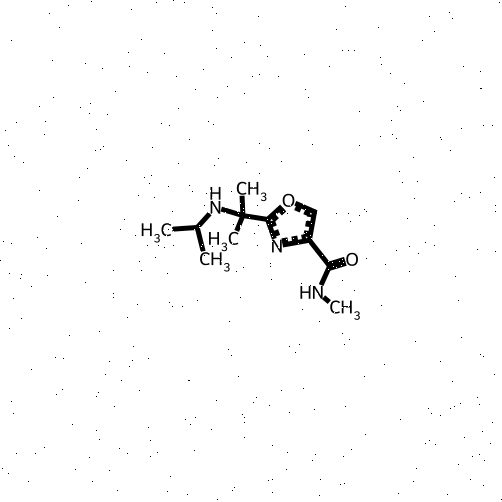 CNC(=O)c1coc(C(C)(C)NC(C)C)n1